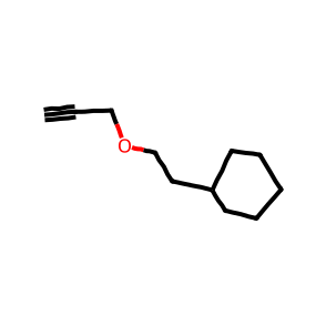 C#CCOCCC1CCCCC1